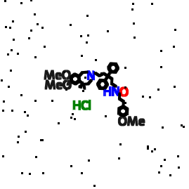 COc1ccc(CCC(=O)NCCCC(CCCN2CCc3cc(OC)c(OC)cc3C(C)(C)CC2)(c2ccccc2)c2ccccc2)cc1.Cl